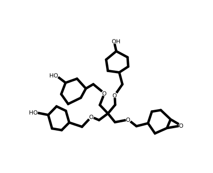 OC1CCC(COCC(COCC2CCC(O)CC2)(COCC2CCCC(O)C2)COCC2CCC3OC3C2)CC1